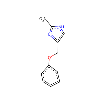 O=[N+]([O-])c1nc(COc2ccccc2)c[nH]1